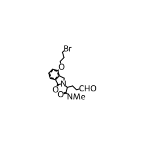 CNC(=O)C(CCC=O)N1Cc2c(OCCCBr)cccc2C1=O